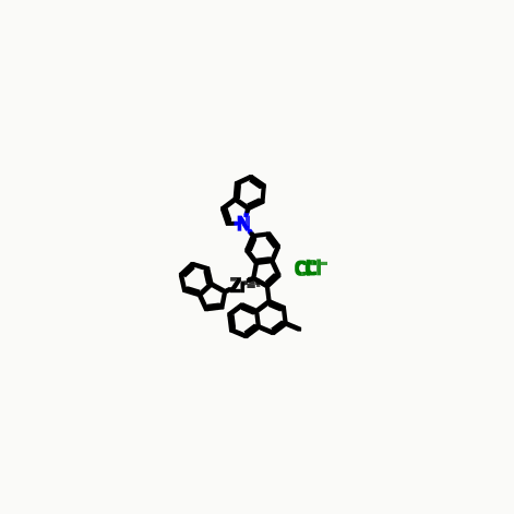 Cc1cc(C2=Cc3ccc(-n4ccc5ccccc54)cc3[CH]2[Zr+2][CH]2C=Cc3ccccc32)c2ccccc2c1.[Cl-].[Cl-]